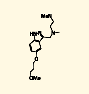 CNCCN(C)Cc1n[nH]c2ccc(OCCCOC)cc12